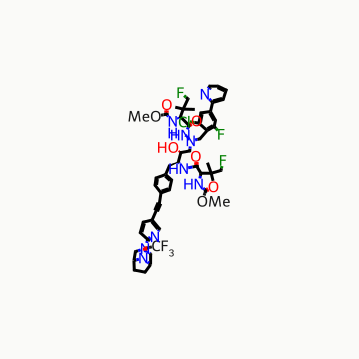 COC(=O)NC(C(=O)N[C@@H](Cc1ccc(C#Cc2ccc(N3CC4CCC(C3)N4CC(F)(F)F)nc2)cc1)[C@@H](O)CN(Cc1c(F)cc(-c2ccccn2)cc1Cl)NC(=O)[C@@H](NC(=O)OC)C(C)(C)CF)C(C)(C)CF